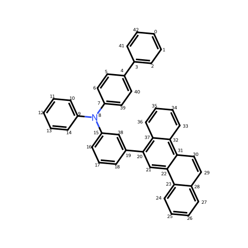 c1ccc(-c2ccc(N(c3ccccc3)c3cccc(-c4cc5c6ccccc6ccc5c5ccccc45)c3)cc2)cc1